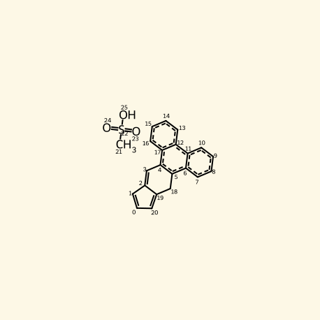 C1=CC2=Cc3c(c4ccccc4c4ccccc34)CC2=C1.CS(=O)(=O)O